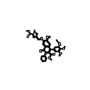 COC(=O)c1cc(COc2cc3c(=O)n(-c4ccccc4)c(C(=O)OC)c(-c4cc(OC)c(OC)c(OC)c4)c3cc2OC)cn1C